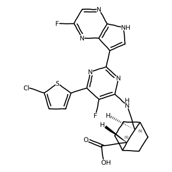 O=C(O)[C@H]1C2CCC(CC2)[C@@H]1Nc1nc(-c2c[nH]c3ncc(F)nc23)nc(-c2ccc(Cl)s2)c1F